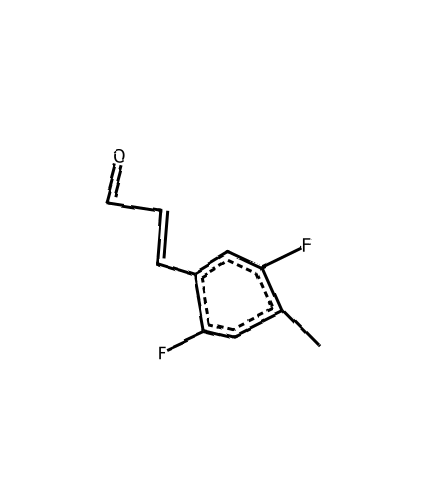 Cc1cc(F)c(/C=C/C=O)cc1F